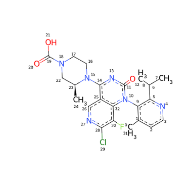 Cc1ccnc(C(C)C)c1-n1c(=O)nc(N2CCN(C(=O)O)C[C@@H]2C)c2cnc(Cl)c(F)c21